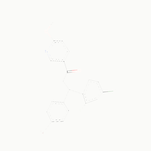 COc1ccc(C(=O)CC(c2ccc(Br)cc2)c2ccc(Cl)cc2F)cn1